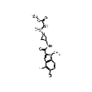 Cn1c(C(=O)NC2CN([S+]([O-])NC(=O)OC(C)(C)C)C2)cc2c(Cl)c(Cl)ccc21